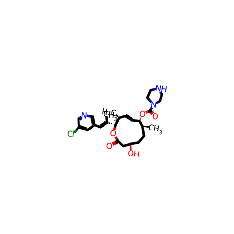 C/C(=C\c1cncc(Cl)c1)[C@H]1OC(=O)C[C@H](O)CC[C@H](C)[C@@H](OC(=O)N2CCNCC2)/C=C/[C@@H]1C